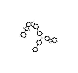 c1ccc(-c2ccc(N(c3ccc(-c4ccc5oc6ccc7nc(-c8ccccc8)oc7c6c5c4)cc3)c3ccc4c(c3)oc3ccccc34)cc2)cc1